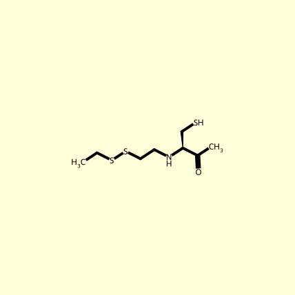 CCSSCCN[C@@H](CS)C(C)=O